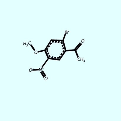 COc1cc(Br)c(C(C)=O)cc1[N+](=O)[O-]